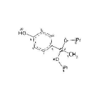 CC(C)O[Si](C)(OC(C)C)c1ccc(O)cc1